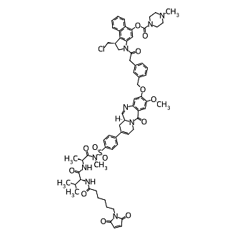 COc1cc2c(cc1OCc1cccc(CC(=O)N3C[C@@H](CCl)c4c3cc(OC(=O)N3CCN(C)CC3)c3ccccc43)c1)N=C[C@@H]1CC(c3ccc(S(=O)(=O)N(C)C(=O)[C@H](C)NC(=O)[C@@H](NC(=O)CCCCCN4C(=O)C=CC4=O)C(C)C)cc3)=CCN1C2=O